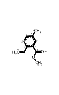 C=Cc1ncc(C)cc1C(=O)OC